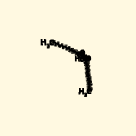 CCCCCCCCCCCCCCCCOC(=O)C(O)CC(=O)SCCCCCCCCCCCCCCCC